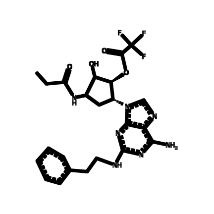 CCC(=O)NC1C[C@@H](n2cnc3c(N)nc(NCCc4ccccc4)nc32)[C@H](OC(=O)C(F)(F)F)C1O